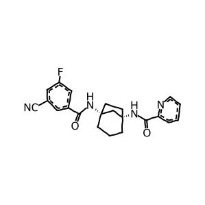 N#Cc1cc(F)cc(C(=O)N[C@]23CCC[C@](NC(=O)c4ccccn4)(CC2)C3)c1